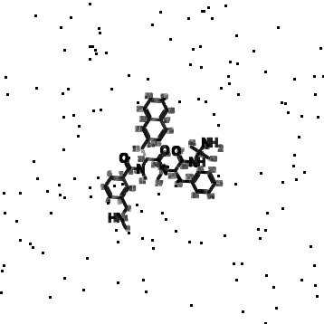 CNCc1cccc(C(=O)N(C)[C@H](Cc2ccc3ccccc3c2)C(=O)N(C)[C@H](Cc2ccccc2)C(=O)NC(C)(C)N)c1